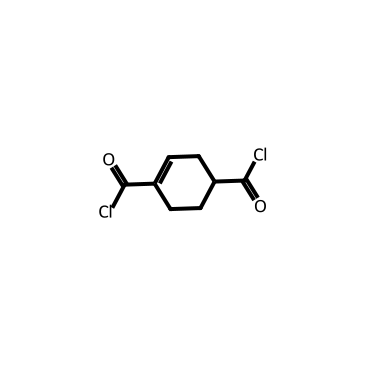 O=C(Cl)C1=CCC(C(=O)Cl)CC1